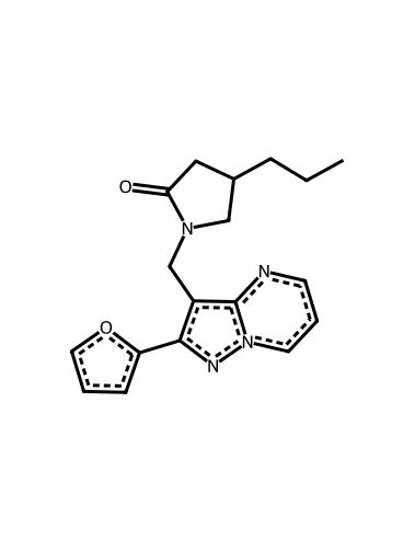 CCCC1CC(=O)N(Cc2c(-c3ccco3)nn3cccnc23)C1